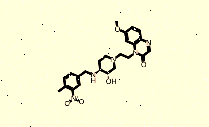 COc1ccc2ncc(=O)n(CCN3CC[C@H](NCc4ccc(C)c([N+](=O)[O-])c4)[C@@H](O)C3)c2c1